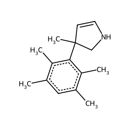 Cc1cc(C)c(C)c(C2(C)C=CNC2)c1C